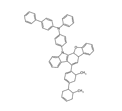 CC1CC(C2CC=CCC2C)=CC=C1C1=CC2c3ccccc3OC2c2c1c1ccccc1n2-c1ccc(N(c2ccccc2)c2ccc(-c3ccccc3)cc2)cc1